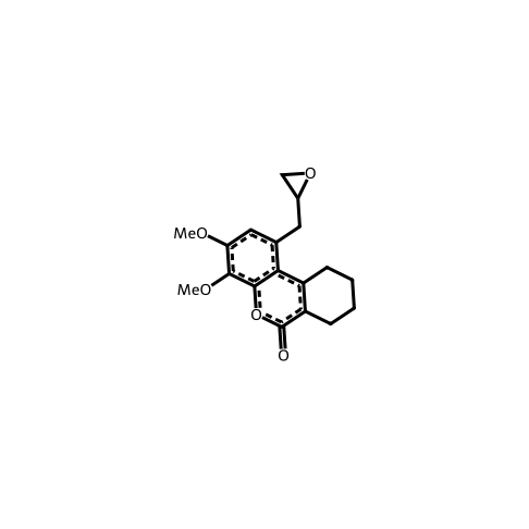 COc1cc(CC2CO2)c2c3c(c(=O)oc2c1OC)CCCC3